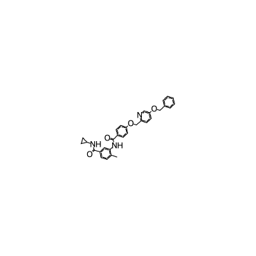 Cc1ccc(C(=O)NC2CC2)cc1NC(=O)c1ccc(OCc2ccc(OCc3ccccc3)cn2)cc1